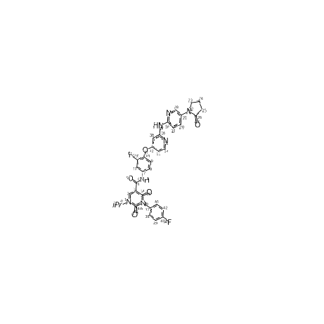 CC(C)n1cc(C(=O)Nc2ccc(Oc3ccnc(Nc4ccc(N5CCCC5=O)cn4)c3)c(F)c2)c(=O)n(-c2ccc(F)cc2)c1=O